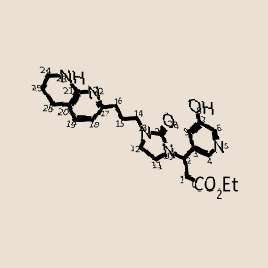 CCOC(=O)CC(c1cncc(O)c1)N1CCN(CCCc2ccc3c(n2)NCCC3)C1=O